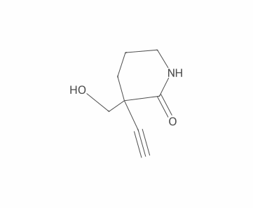 C#CC1(CO)CCCNC1=O